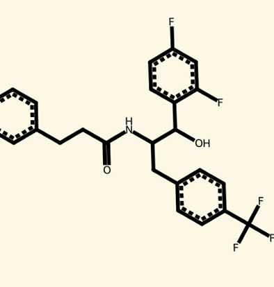 O=C(CCc1ccccc1)NC(Cc1ccc(C(F)(F)F)cc1)C(O)c1ccc(F)cc1F